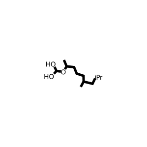 CC(C)CC(C)CCCC(C)OC(O)O